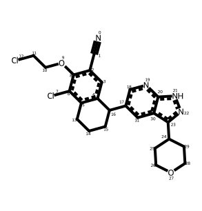 N#Cc1cc2c(c(Cl)c1OCCCl)CCCC2c1cnc2[nH]nc(C3CCOCC3)c2c1